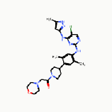 Cc1cc(Nc2nc(Nc3cc(C)c(C4CCN(C(=O)CN5CCOCC5)CC4)cc3C)ncc2Cl)n[nH]1